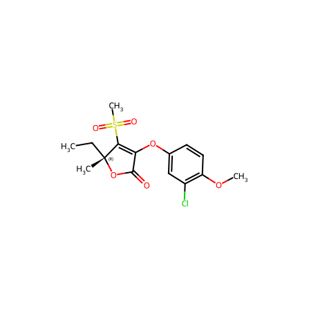 CC[C@@]1(C)OC(=O)C(Oc2ccc(OC)c(Cl)c2)=C1S(C)(=O)=O